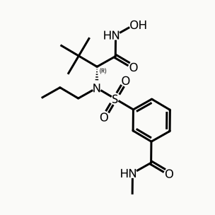 CCCN([C@@H](C(=O)NO)C(C)(C)C)S(=O)(=O)c1cccc(C(=O)NC)c1